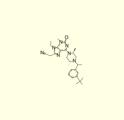 CCn1c(CC#N)nc2c(N3C[C@@H](C)N(C(C)c4cccc(C(C)(C)C)c4)C[C@@H]3C)nc(=O)n(C)c21